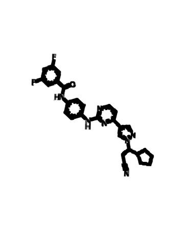 N#CCC(C1CCCC1)n1cc(-c2ccnc(Nc3ccc(NC(=O)c4cc(F)cc(F)c4)cc3)n2)cn1